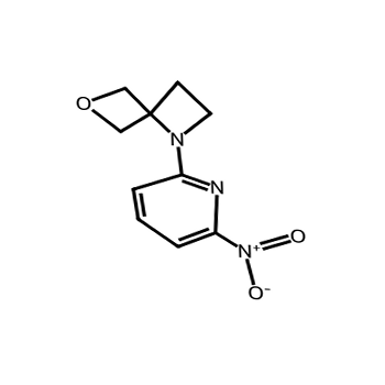 O=[N+]([O-])c1cccc(N2CCC23COC3)n1